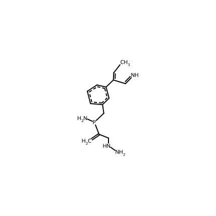 C=C(CNN)P(N)Cc1cccc(/C(C=N)=C/C)c1